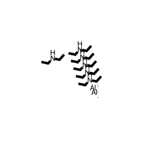 CCNCC.CCNCC.CCNCC.CCNCC.CCNCC.CCNCC.[Al].[Al]